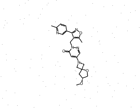 CO[C@@H]1COC2(C1)CN(c1cnn(Cc3c(-c4ccc(C)nc4)noc3C)c(=O)c1)C2